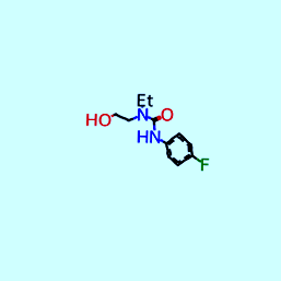 CCN(CCO)C(=O)Nc1ccc(F)cc1